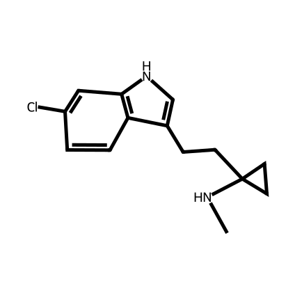 CNC1(CCc2c[nH]c3cc(Cl)ccc23)CC1